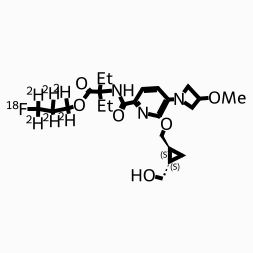 [2H]C([2H])([18F])C([2H])([2H])C([2H])([2H])OC(=O)C(CC)(CC)NC(=O)c1ccc(N2CC(OC)C2)c(OC[C@H]2C[C@@H]2CO)n1